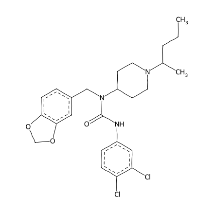 CCCC(C)N1CCC(N(Cc2ccc3c(c2)OCO3)C(=O)Nc2ccc(Cl)c(Cl)c2)CC1